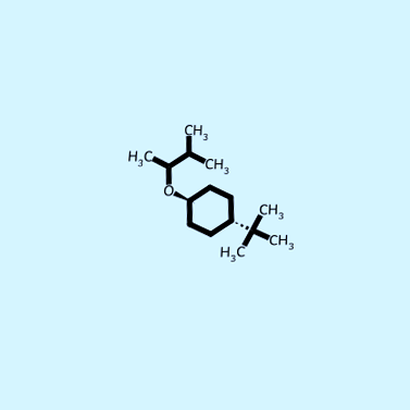 CC(C)C(C)O[C@H]1CC[C@H](C(C)(C)C)CC1